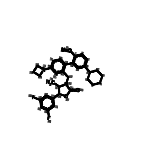 COc1ccc(C2CCCCC2)cc1-c1ccc(N2CCC2)nc1CN1C(=O)OC(c2cc(F)cc(F)c2)C1C